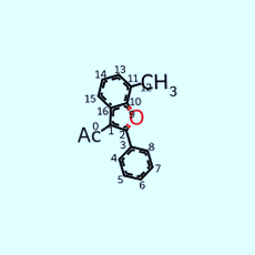 CC(=O)c1c(-c2ccccc2)oc2c(C)cccc12